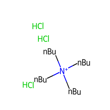 CCCC[N+](CCCC)(CCCC)CCCC.Cl.Cl.Cl